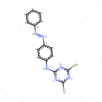 Clc1nc(Cl)nc(Nc2ccc(/N=N/c3ccccc3)cc2)n1